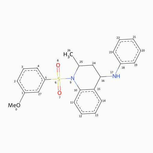 COc1cccc(S(=O)(=O)N2c3ccccc3C(Nc3ccccc3)CC2C)c1